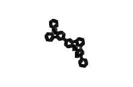 c1ccc(-c2cc3c4cccc5c6cc(-c7ccc8c(c7)c7ccccc7n8-c7ccccc7)ccc6n(c3s2)c54)cc1